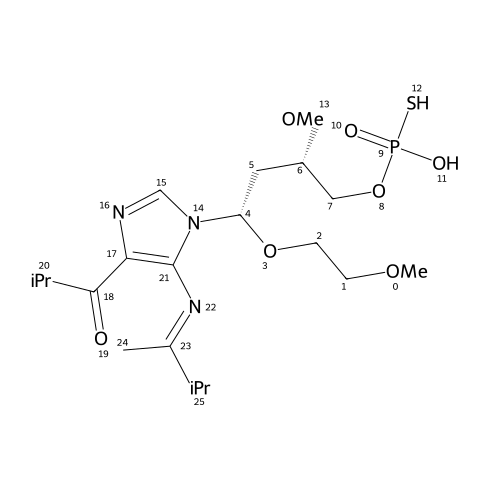 COCCO[C@@H](C[C@@H](COP(=O)(O)S)OC)n1cnc(C(=O)C(C)C)c1/N=C(\C)C(C)C